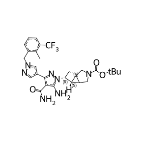 Cc1c(Cn2cc(-c3nn([C@@H]4C[C@]56CN(C(=O)OC(C)(C)C)CC5[C@H]46)c(N)c3C(N)=O)cn2)cccc1C(F)(F)F